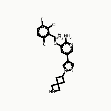 C[C@H](Oc1cc(-c2cnn(C3CC4(CNC4)C3)c2)cnc1N)c1c(Cl)ccc(F)c1Cl